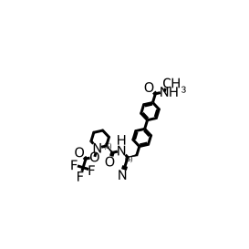 CNC(=O)c1ccc(-c2ccc(C[C@@H](C#N)NC(=O)[C@@H]3CCCCN3OC(=O)C(F)(F)F)cc2)cc1